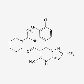 CC1=C(C(=O)NC(C)N2CCCCC2)C(c2ccc(Cl)c(Cl)c2)n2nc(C(F)(F)F)cc2N1